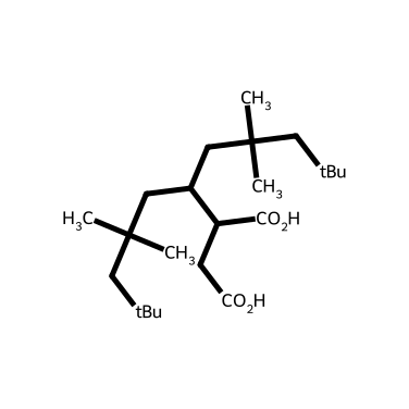 CC(C)(C)CC(C)(C)CC(CC(C)(C)CC(C)(C)C)C(CC(=O)O)C(=O)O